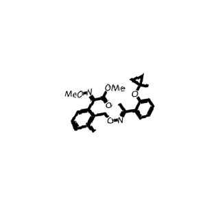 CO/N=C(/C(=O)OC)c1cccc(C)c1CO/N=C(\C)c1ccccc1OC1(C)CC1